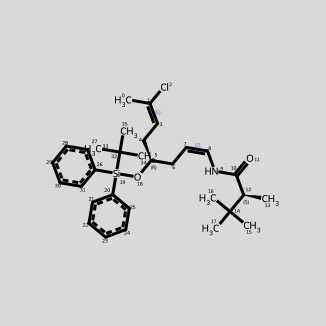 C/C(Cl)=C\C[C@@H](C/C=C\NC(=O)[C@@H](C)C(C)(C)C)O[Si](c1ccccc1)(c1ccccc1)C(C)(C)C